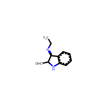 O=CC1Nc2ccccc2C1=NCC(F)(F)F